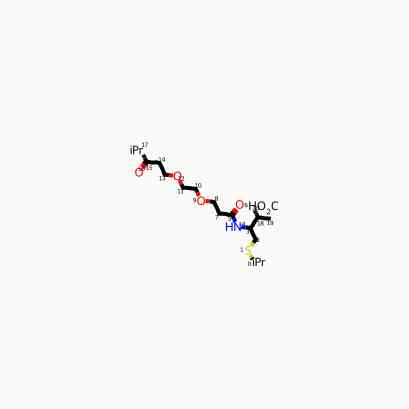 CC(C)SCC(NC(=O)CCOCCOCCC(=O)C(C)C)C(C)C(=O)O